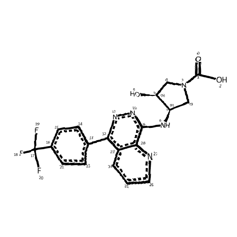 O=C(O)N1C[C@H](O)[C@H](Nc2nnc(-c3ccc(C(F)(F)F)cc3)c3cccnc23)C1